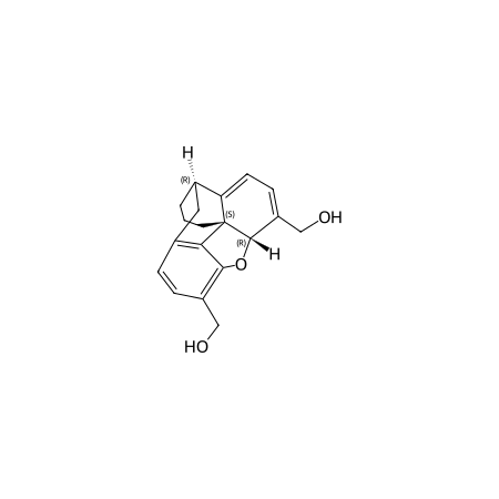 OCC1=CC=C2[C@@H]3CCC[C@@]24c2c(ccc(CO)c2O[C@@H]14)C3